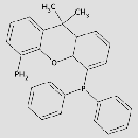 CC1(C)c2cccc(P)c2OC2C(P(c3ccccc3)c3ccccc3)=CC=CC21